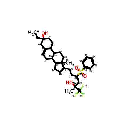 CC[C@]1(O)CCC2C(=CCC3C2CCC2(C)C3CC[C@@H]2CCC(C[C@](C)(O)C(F)(F)F)S(=O)(=O)c2ccccc2)C1